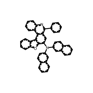 c1ccc(-c2nc3ccccc3c3c2cc(N(c2ccc4ccccc4c2)c2ccc4ccccc4c2)c2oc4ccccc4c23)cc1